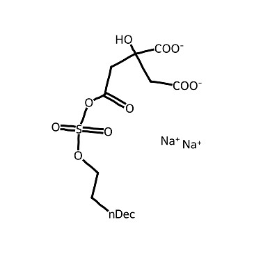 CCCCCCCCCCCCOS(=O)(=O)OC(=O)CC(O)(CC(=O)[O-])C(=O)[O-].[Na+].[Na+]